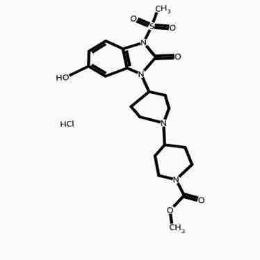 COC(=O)N1CCC(N2CCC(n3c(=O)n(S(C)(=O)=O)c4ccc(O)cc43)CC2)CC1.Cl